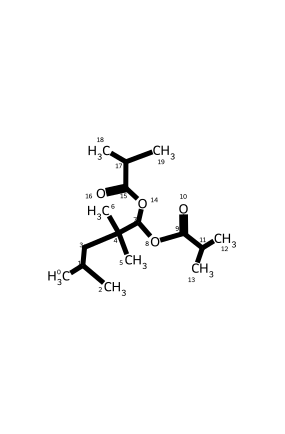 CC(C)CC(C)(C)C(OC(=O)C(C)C)OC(=O)C(C)C